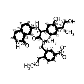 COCc1ccc([N+](=O)[O-])cc1CN(C)C(=O)C(Nc1ccc2cc[nH]c(=O)c2c1)c1ccc([C@@H](C)CO)c(C)c1